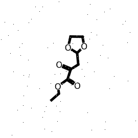 CCOC(=O)C(=O)CC1OCCO1